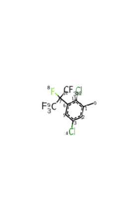 Cc1[c]c(Cl)cc(C(F)(C(F)(F)F)C(F)(F)F)c1Cl